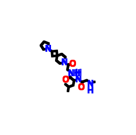 CNCC(=O)NC(CC(C)C)C(=O)NCC(=O)N1CCC2(CC1)CC(N1CCCC1)C2